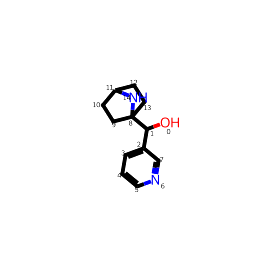 OC(c1cccnc1)C12CCC(CC1)N2